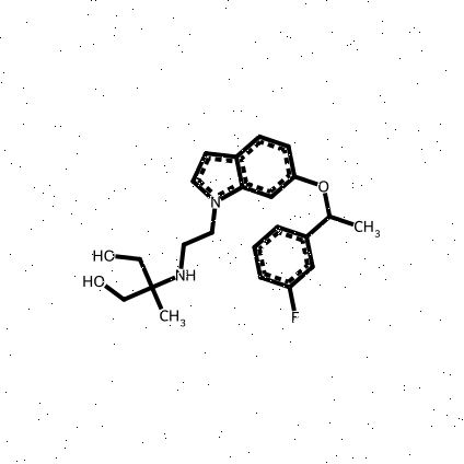 CC(Oc1ccc2ccn(CCNC(C)(CO)CO)c2c1)c1cccc(F)c1